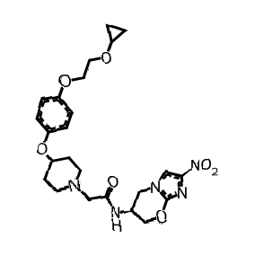 O=C(CN1CCC(Oc2ccc(OCCOC3CC3)cc2)CC1)N[C@@H]1COc2nc([N+](=O)[O-])cn2C1